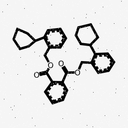 O=C(OCc1ccccc1C1CCCCC1)c1ccccc1C(=O)OCc1ccccc1C1CCCCC1